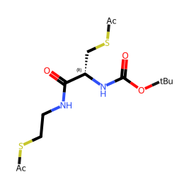 CC(=O)SCCNC(=O)[C@H](CSC(C)=O)NC(=O)OC(C)(C)C